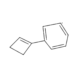 [c]1cccc(C2=CCC2)c1